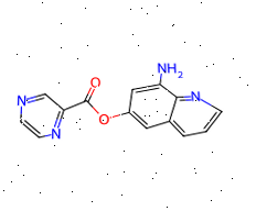 Nc1cc(OC(=O)c2cnccn2)cc2cccnc12